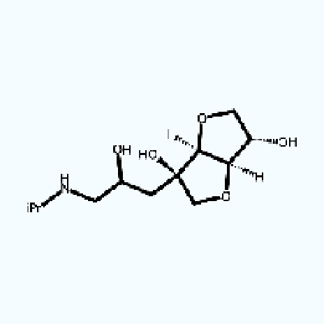 CC(C)NCC(O)C[C@@]1(O)CO[C@@H]2[C@@H](O)CO[C@@H]21